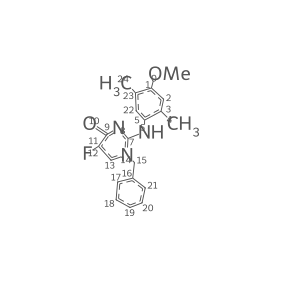 COc1cc(C)c(Nc2nc(=O)c(F)cn2Cc2ccccc2)cc1C